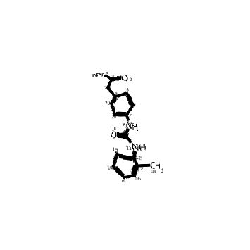 CCCC(=O)Cc1ccc(NC(=O)Nc2ccccc2C)cc1